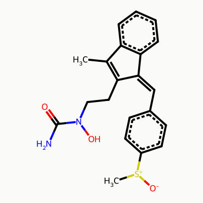 CC1=C(CCN(O)C(N)=O)C(=Cc2ccc([S+](C)[O-])cc2)c2ccccc21